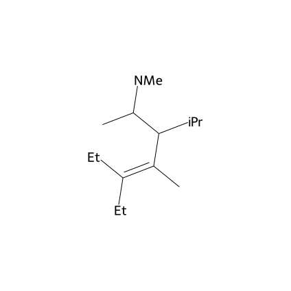 CCC(CC)=C(C)C(C(C)C)C(C)NC